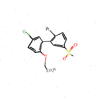 CC(C)c1ccc(S(C)(=O)=O)cc1-c1cc(Cl)ccc1OCC(=O)O